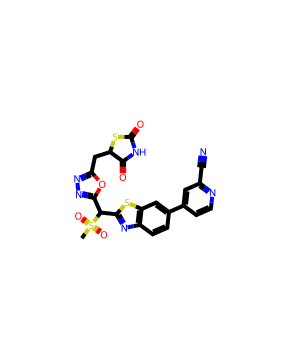 CS(=O)(=O)C(c1nnc(CC2SC(=O)NC2=O)o1)c1nc2ccc(-c3ccnc(C#N)c3)cc2s1